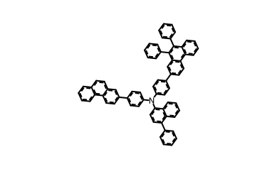 c1ccc(-c2ccc(N(c3ccc(-c4ccc5c(ccc6ccccc65)c4)cc3)c3ccc(-c4ccc5c(c4)c(-c4ccccc4)c(-c4ccccc4)c4ccccc45)cc3)c3ccccc23)cc1